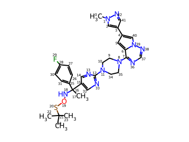 Cn1cc(-c2cc3c(N4CCN(c5ncc(C(C)(NOSC(C)(C)C)c6ccc(F)cc6)cn5)CC4)ncnn3c2)cn1